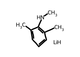 CNc1c(C)cccc1C.[LiH]